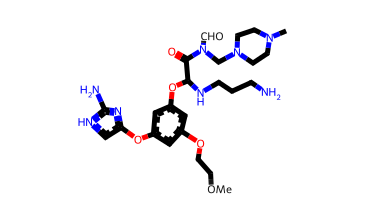 COCCOc1cc(Oc2c[nH]c(N)n2)cc(OC(NCCCN)C(=O)N(C=O)CN2CCN(C)CC2)c1